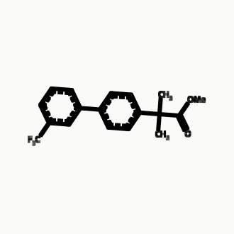 COC(=O)C(C)(C)c1ccc(-c2cccc(C(F)(F)F)c2)cc1